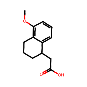 COc1cccc2c1CCCC2CC(=O)O